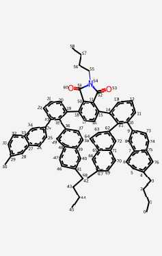 CCCCc1ccc2cc(-c3cccc(-c4ccc(-c5cccc(-c6ccc7cc(C)ccc7c6)c5-c5ccc6cc(CCCC)ccc6c5)c5c4C(=O)N(CCCC)C5=O)c3-c3ccc4cc(C)ccc4c3)ccc2c1